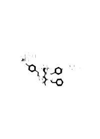 COc1ccc(Cn2cnnc2-c2c(OCc3ccccc3)c(C)nn2CCc2ccc(CO[Si](C)(C)C(C)(C)C)cc2)cc1